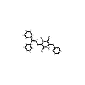 Cn1c(=O)c(=Cc2ccccc2)n(C)c(=O)c1=CC=C(c1ccccc1)c1ccccc1